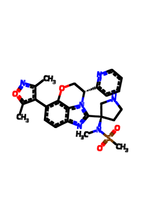 Cc1noc(C)c1-c1ccc2nc([C@@]3(N(C)S(C)(=O)=O)CCNC3)n3c2c1OC[C@@H]3c1ccccn1